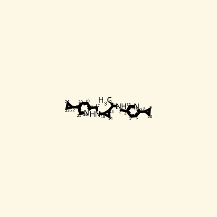 CC(NCc1ccc(C2CC2)nc1)C1CC1NCc1ccc(C2CC2)cn1